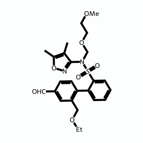 CCOCc1cc(C=O)ccc1-c1ccccc1S(=O)(=O)N(COCCOC)c1noc(C)c1C